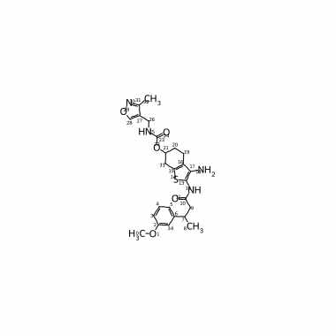 COc1cccc(C(C)CC(=O)Nc2sc3c(c2N)CCC(OC(=O)NCc2conc2C)C3)c1